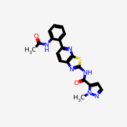 CC(=O)Nc1ccccc1-c1ccc2nc(NC(=O)c3ccnn3C)sc2n1